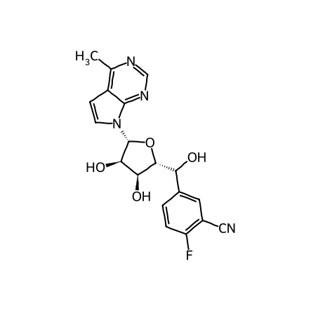 Cc1ncnc2c1ccn2[C@@H]1O[C@H](C(O)c2ccc(F)c(C#N)c2)[C@@H](O)[C@H]1O